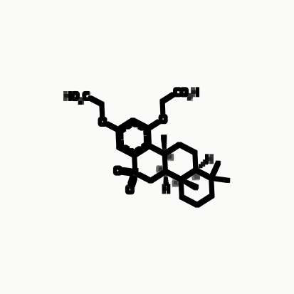 CC1(C)CCC[C@]2(C)[C@H]3CS(=O)(=O)c4cc(OCC(=O)O)cc(OCC(=O)O)c4[C@]3(C)CC[C@@H]12